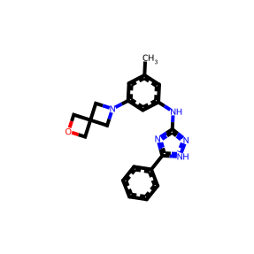 Cc1cc(Nc2n[nH]c(-c3ccccc3)n2)cc(N2CC3(COC3)C2)c1